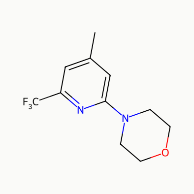 Cc1cc(N2CCOCC2)nc(C(F)(F)F)c1